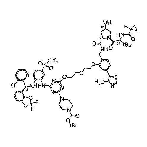 Cc1ncsc1-c1ccc(CNC(=O)[C@@H]2C[C@@H](O)CN2C(=O)[C@@H](NC(=O)C2(F)CC2)C(C)(C)C)c(OCCOCCOc2nc(Nc3cc(S(C)(=O)=O)ccc3N[C@@H](c3cccc4c3OC(F)(F)O4)c3ncccc3Cl)nc(N3CCN(C(=O)OC(C)(C)C)CC3)n2)c1